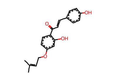 CC(C)=CCOc1ccc(C(=O)/C=C/c2ccc(O)cc2)c(O)c1